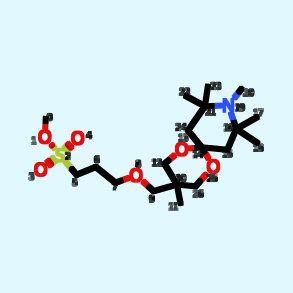 COS(=O)(=O)CCCOCC1(C)COC2(CC(C)(C)N(C)C(C)(C)C2)OC1